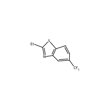 CCc1nc2cc(C(F)(F)F)ccc2s1